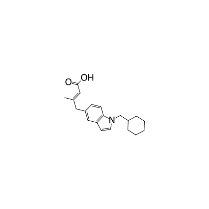 CC(=CC(=O)O)Cc1ccc2c(ccn2CC2CCCCC2)c1